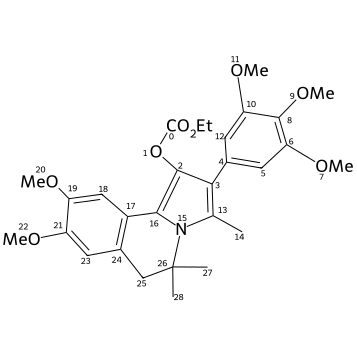 CCOC(=O)Oc1c(-c2cc(OC)c(OC)c(OC)c2)c(C)n2c1-c1cc(OC)c(OC)cc1CC2(C)C